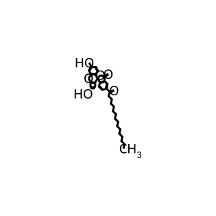 CCCCCCCCCCCCCCCC(=O)c1ccc2c(c1)C(=O)OC21c2ccc(O)cc2Oc2cc(O)ccc21